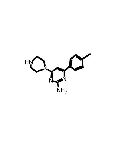 Cc1ccc(-c2cc(N3CCNCC3)nc(N)n2)cc1